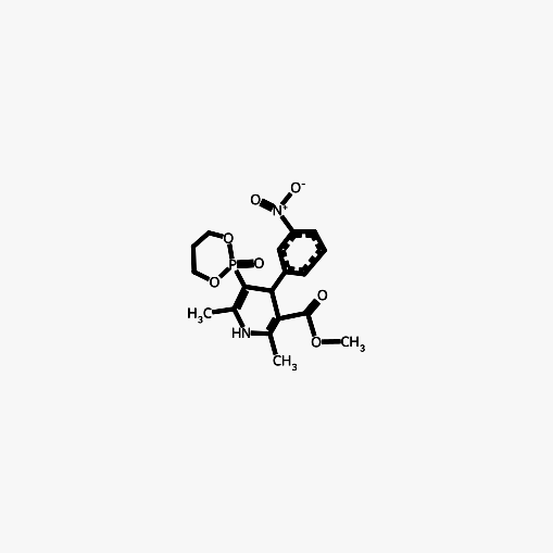 COC(=O)C1=C(C)NC(C)=C(P2(=O)OCCCO2)C1c1cccc([N+](=O)[O-])c1